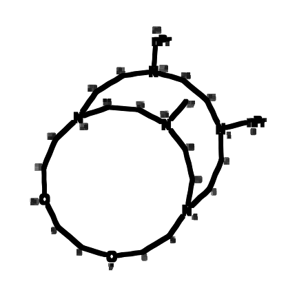 CCCN1CCN2CCOCCOCCN(CCN(C)CC2)CCN(CCC)CC1